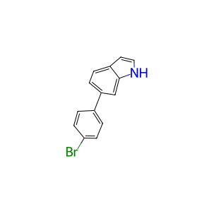 Brc1ccc(-c2ccc3cc[nH]c3c2)cc1